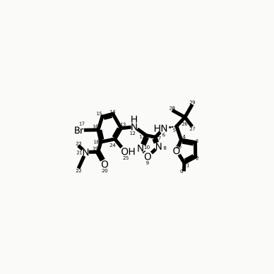 Cc1ccc([C@H](Nc2nonc2Nc2ccc(Br)c(C(=O)N(C)C)c2O)C(C)(C)C)o1